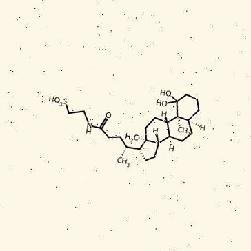 C[C@H](CCC(=O)NCCS(=O)(=O)O)[C@H]1CC[C@H]2[C@@H]3CC[C@@H]4CCCC(O)(O)[C@]4(C)[C@H]3CC[C@]12C